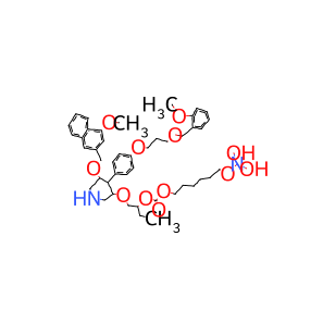 CCC(COC1CNCC(OCc2cc(OC)c3ccccc3c2)C1c1ccc(OCCCOCc2ccccc2OC)cc1)OC(=O)OCCCCCCON(O)O